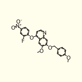 COc1ccc(COc2cc3nccc(Oc4ccc([N+](=O)[O-])cc4F)c3cc2OC)cc1